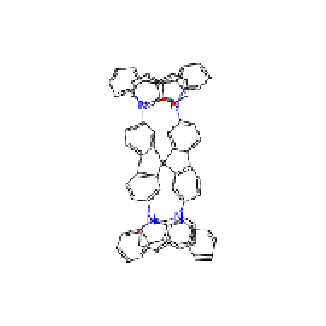 c1ccc2c(c#1)c1ccccc1n2-c1ccc2c(c1)C1(c3cc(-n4c5ccccc5c5ccccc54)ccc3-2)c2cc(-n3c4ccccc4c4ccccc43)ccc2-c2ccc(-n3c4ccccc4c4ccccc43)cc21